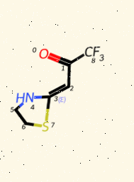 O=C(/C=C1\NCCS1)C(F)(F)F